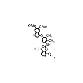 COc1cc2nccc(Oc3ccc(NC(=O)OC(C)c4cccc(OC(F)(F)F)c4)c(C)c3C)c2cc1OC